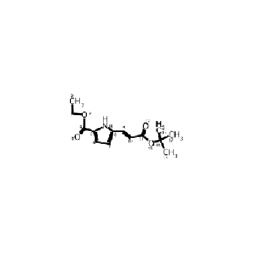 CCOC(=O)c1ccc(C=CC(=O)OC(C)(C)C)[nH]1